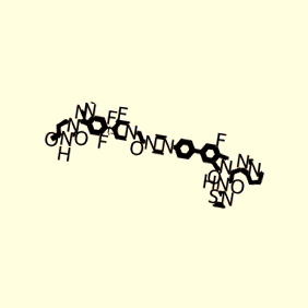 Cn1nc(N2CCC(=O)NC2=O)c2cc(F)c([C@@H]3CCN(CC(=O)N4CCN(c5ccc(-c6cc(F)c7c(c6)C(=O)N(C(C(=O)Nc6nccs6)c6ncn8c6CCC8)C7)cc5)CC4)CC3(F)F)cc21